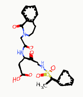 CC(c1ccccc1)S(=O)(=O)NCC(=O)C(CC(=O)O)NC(=O)CN1CCc2ccccc2C1=O